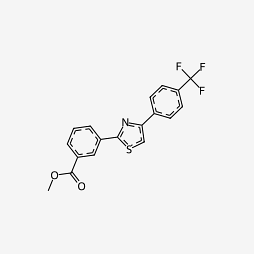 COC(=O)c1cccc(-c2nc(-c3ccc(C(F)(F)F)cc3)cs2)c1